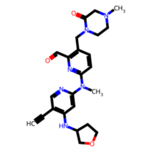 C#Cc1cnc(N(C)c2ccc(CN3CCN(C)CC3=O)c(C=O)n2)cc1NC1CCOC1